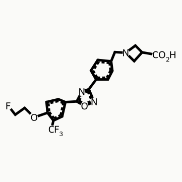 O=C(O)C1CN(Cc2ccc(-c3noc(-c4ccc(OCCF)c(C(F)(F)F)c4)n3)cc2)C1